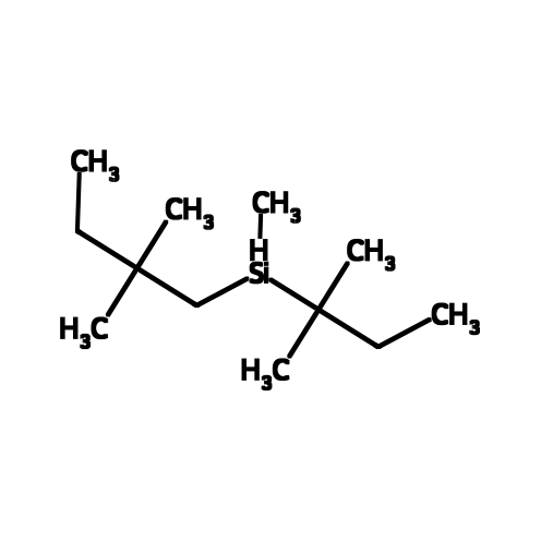 CCC(C)(C)C[SiH](C)C(C)(C)CC